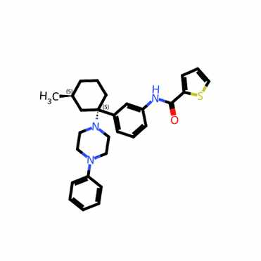 C[C@H]1CCC[C@](c2cccc(NC(=O)c3cccs3)c2)(N2CCN(c3ccccc3)CC2)C1